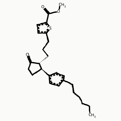 CCCCCCc1ccc([C@H]2CCC(=O)[C@@H]2CCCc2ccc(C(=O)OC)s2)cc1